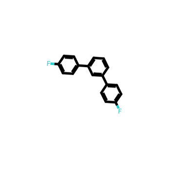 Fc1ccc(-c2cccc(-c3ccc(F)cc3)c2)cc1